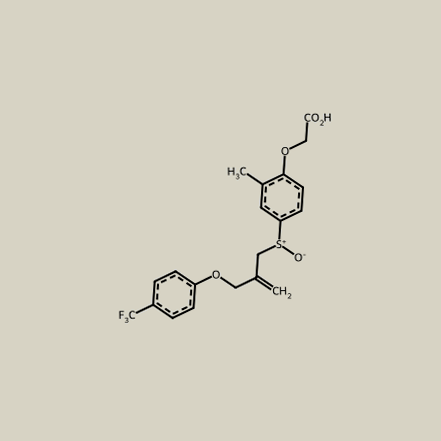 C=C(COc1ccc(C(F)(F)F)cc1)C[S+]([O-])c1ccc(OCC(=O)O)c(C)c1